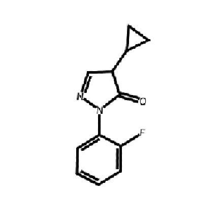 O=C1C(C2CC2)C=NN1c1ccccc1F